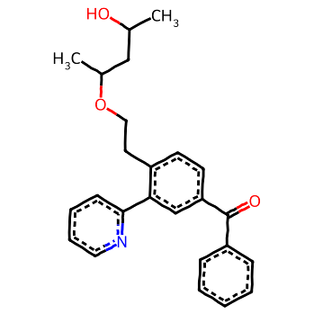 CC(O)CC(C)OCCc1ccc(C(=O)c2ccccc2)cc1-c1ccccn1